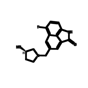 O=C1Nc2ccc(F)c3cc(CN4CC[C@H](O)C4)cc1c23